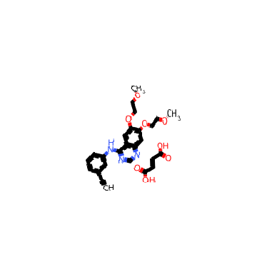 C#Cc1cccc(Nc2ncnc3cc(OCCOC)c(OCCOC)cc23)c1.O=C(O)C=CC(=O)O